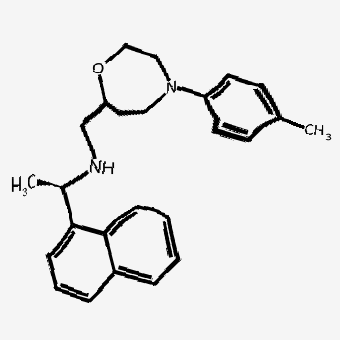 Cc1ccc(N2CCOC(CN[C@H](C)c3cccc4ccccc34)C2)cc1